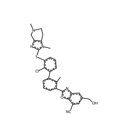 Cc1c(-c2nc3cc(CO)cc(C#N)c3o2)cccc1-c1cccc(Sc2nc3c(n2C)CCN(C)C3)c1Cl